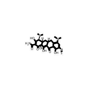 CN(C)c1cc(N=S)c(O)c2c1C[C@H]1C[C@H]3[C@H](N(C)C)C(O)=C(C(N)=O)C(=O)[C@@]3(O)C(O)=C1C2=O